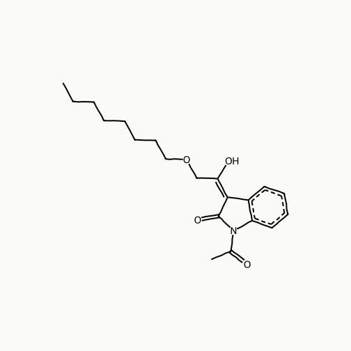 CCCCCCCCOCC(O)=C1C(=O)N(C(C)=O)c2ccccc21